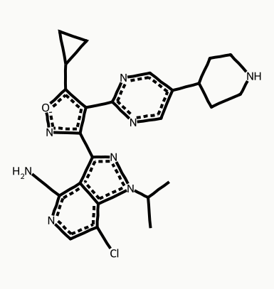 CC(C)n1nc(-c2noc(C3CC3)c2-c2ncc(C3CCNCC3)cn2)c2c(N)ncc(Cl)c21